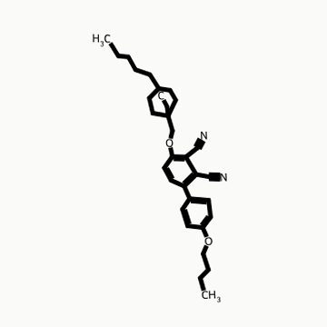 CCCCCC12CCC(COc3ccc(-c4ccc(OCCCC)cc4)c(C#N)c3C#N)(CC1)CC2